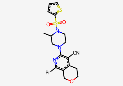 CC(C)c1nc(N2CCN(S(=O)(=O)c3cccs3)C(C)C2)c(C#N)c2c1COCC2